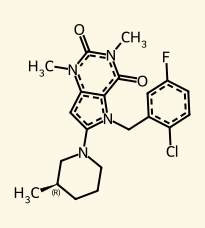 C[C@@H]1CCCN(c2cc3c(c(=O)n(C)c(=O)n3C)n2Cc2cc(F)ccc2Cl)C1